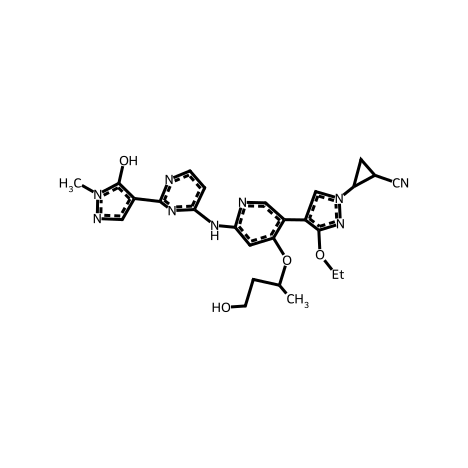 CCOc1nn(C2CC2C#N)cc1-c1cnc(Nc2ccnc(-c3cnn(C)c3O)n2)cc1OC(C)CCO